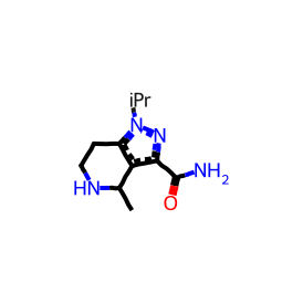 CC1NCCc2c1c(C(N)=O)nn2C(C)C